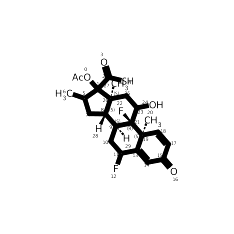 CC(=O)OC1(C(=O)S)C(C)C[C@H]2[C@@H]3CC(F)C4=CC(=O)C=C[C@]4(C)[C@@]3(F)C(O)C[C@@]21C